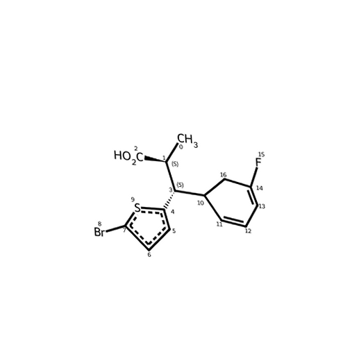 C[C@H](C(=O)O)[C@@H](c1ccc(Br)s1)C1C=CC=C(F)C1